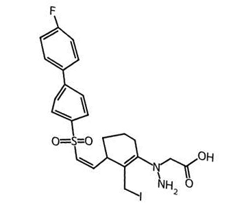 NN(CC(=O)O)C1=C(CI)C(/C=C\S(=O)(=O)c2ccc(-c3ccc(F)cc3)cc2)CCC1